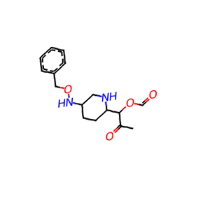 CC(=O)C(OC=O)C1CCC(NOCc2ccccc2)CN1